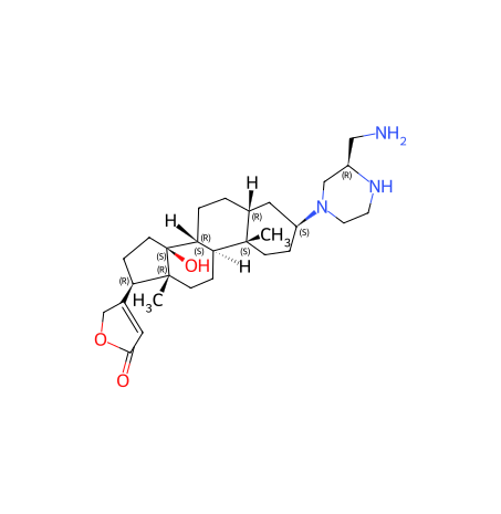 C[C@]12CC[C@H](N3CCN[C@H](CN)C3)C[C@H]1CC[C@@H]1[C@@H]2CC[C@]2(C)[C@@H](C3=CC(=O)OC3)CC[C@]12O